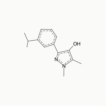 Cc1c(O)c(-c2cccc(C(C)C)c2)nn1C